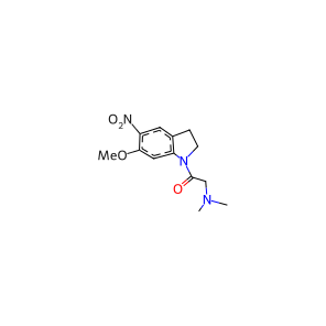 COc1cc2c(cc1[N+](=O)[O-])CCN2C(=O)CN(C)C